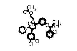 CC(=O)OCCOC(CC(c1ccc(Cl)c(Cl)c1)C(O)N1CCCCC1)c1ccccc1.CNC(=O)c1ccccc1.Cl